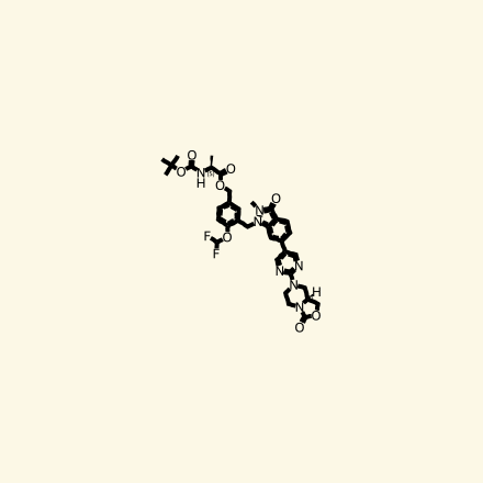 C[C@H](NC(=O)OC(C)(C)C)C(=O)OCc1ccc(OC(F)F)c(Cn2c3cc(-c4cnc(N5CCN6C(=O)OC[C@@H]6C5)nc4)ccc3c(=O)n2C)c1